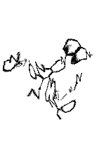 C=CC(=O)N1CCN(c2c(C#N)c(OC[C@@H]3CCCN3C)nc3c2CCN(c2cccc4c2CCN(C)C4)C3)C[C@@H]1CC#N